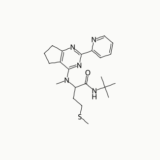 CSCCC(C(=O)NC(C)(C)C)N(C)c1nc(-c2ccccn2)nc2c1CCC2